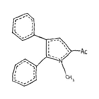 CC(=O)c1cc(-c2ccccc2)c(-c2ccccc2)n1C